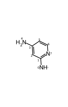 [NH]c1cc(N)ccn1